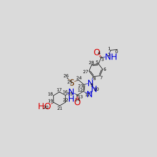 CCNC(=O)c1ccc(-n2nnc(C(=O)NC3CCC(O)CC3)c2CSC)cc1